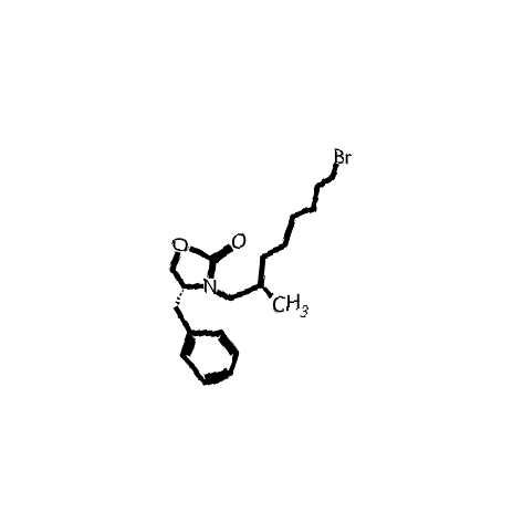 C[C@H](CCCCCCBr)CN1C(=O)OC[C@H]1Cc1ccccc1